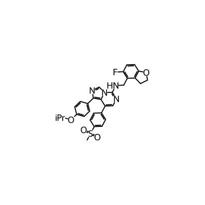 CC(C)Oc1ccc(-c2ncn3c(NCc4c(F)ccc5c4CCO5)ncc(-c4ccc(S(C)(=O)=O)cc4)c23)cc1